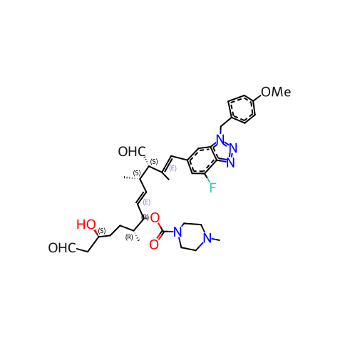 COc1ccc(Cn2nnc3c(F)cc(/C=C(\C)[C@@H](C=O)[C@@H](C)/C=C/[C@H](OC(=O)N4CCN(C)CC4)[C@H](C)CC[C@H](O)CC=O)cc32)cc1